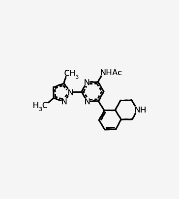 CC(=O)Nc1cc(C2=CC=CC3CNCCC23)nc(-n2nc(C)cc2C)n1